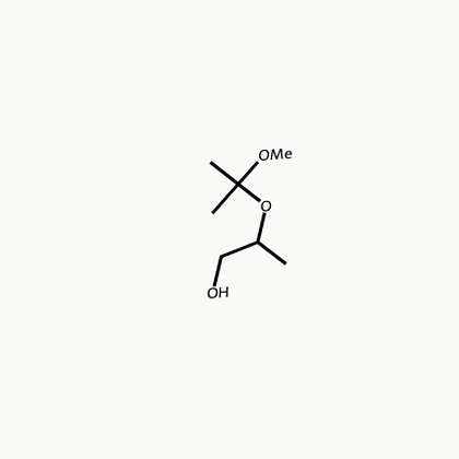 COC(C)(C)OC(C)CO